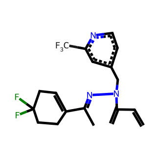 C=CC(=C)N(Cc1ccnc(C(F)(F)F)c1)/N=C(\C)C1=CCC(F)(F)CC1